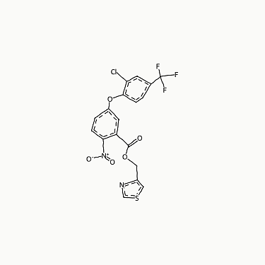 O=C(OCc1cscn1)c1cc(Oc2ccc(C(F)(F)F)cc2Cl)ccc1[N+](=O)[O-]